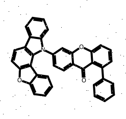 O=c1c2ccc(-n3c4ccccc4c4ccc5oc6ccccc6c5c43)cc2oc2cccc(-c3ccccc3)c12